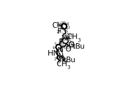 Cc1cc(Nc2ccc(F)c(CC3(C(=O)OC(C)(C)C)CCN(CCc4cccc(Cl)c4F)[C@H](C)C3)n2)nn1C(C)(C)C